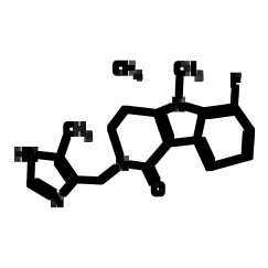 C.Cc1[nH]cnc1CN1CCc2c(c3cccc(F)c3n2C)C1=O